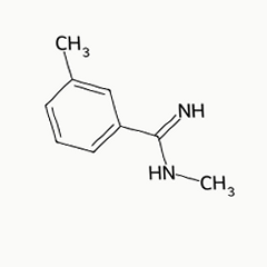 CNC(=N)c1cccc(C)c1